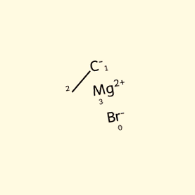 [Br-].[CH2-]C.[Mg+2]